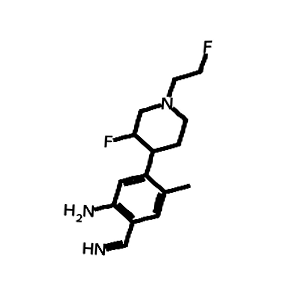 Cc1cc(C=N)c(N)cc1C1CCN(CCF)CC1F